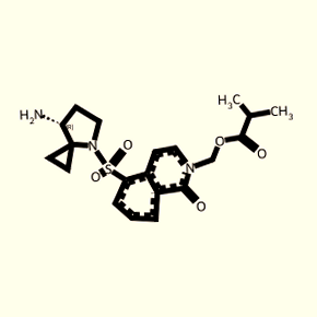 CC(C)C(=O)OCn1ccc2c(S(=O)(=O)N3CC[C@@H](N)C34CC4)cccc2c1=O